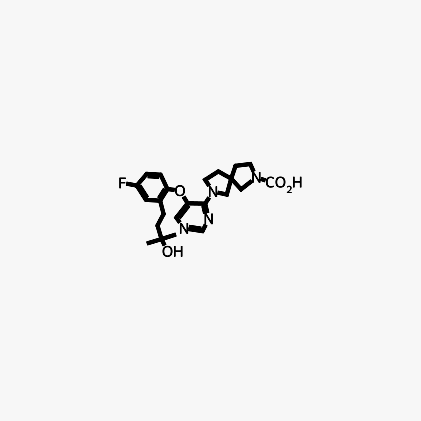 CC(C)(O)CCc1cc(F)ccc1Oc1cncnc1N1CCC2(CCN(C(=O)O)C2)C1